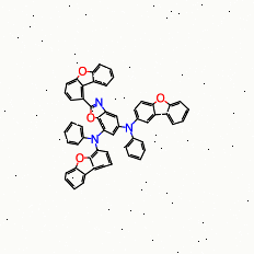 c1ccc(N(c2cc(N(c3ccccc3)c3cccc4c3oc3ccccc34)c3oc(-c4cccc5oc6ccccc6c45)nc3c2)c2ccc3oc4ccccc4c3c2)cc1